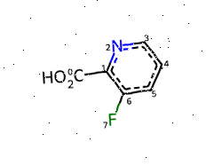 O=C(O)c1nc[c]cc1F